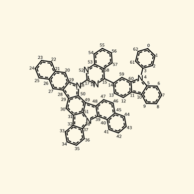 c1ccc(-n2c3ccccc3c3ccc(-c4nc(-n5c6cc7ccccc7cc6c6cc7c8ccccc8n8c9c%10ccccc%10ccc9c(c65)c78)nc5ccccc45)cc32)cc1